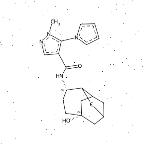 Cn1ncc(C(=O)N[C@H]2CC[C@]3(O)CC4CC(C3)C2C4)c1-n1cccc1